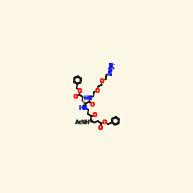 CC(=O)N[C@@H](CCC(=O)OCc1ccccc1)C(=O)CCN[C@H](CCC(=O)OCc1ccccc1)C(=O)NCCOCCOCCN=[N+]=[N-]